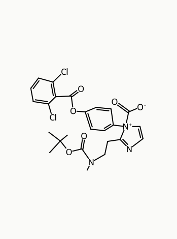 CN(CCC1=NC=C[N+]1(C(=O)[O-])c1ccc(OC(=O)c2c(Cl)cccc2Cl)cc1)C(=O)OC(C)(C)C